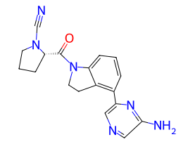 N#CN1CCC[C@H]1C(=O)N1CCc2c(-c3cncc(N)n3)cccc21